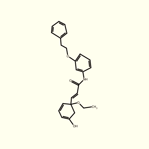 CCOC1(C=CC(=O)Nc2cccc(OCCc3ccccc3)c2)C=CC=C(O)C1